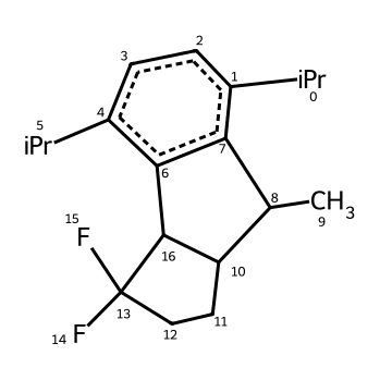 CC(C)c1ccc(C(C)C)c2c1C(C)C1CCC(F)(F)C21